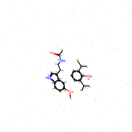 CC(C)c1cccc(C(C)C)c1O.COc1ccc2[nH]cc(CCNC(C)=O)c2c1